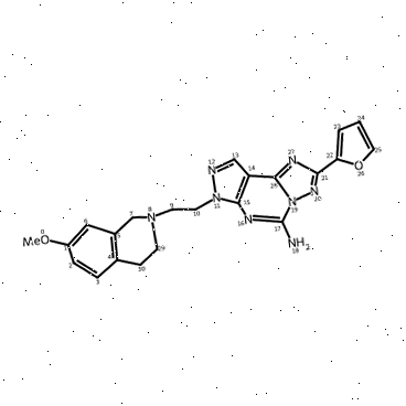 COc1ccc2c(c1)CN(CCn1ncc3c1nc(N)n1nc(-c4ccco4)nc31)CC2